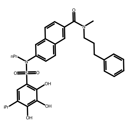 CCCN(c1ccc2cc(C(=O)N(C)CCCc3ccccc3)ccc2c1)S(=O)(=O)c1cc(C(C)C)c(O)c(O)c1O